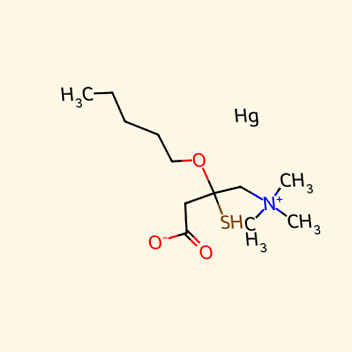 CCCCCOC(S)(CC(=O)[O-])C[N+](C)(C)C.[Hg]